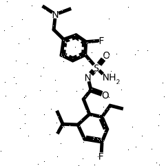 CCC1=CC(F)=CC(C(C)C)C1CC(=O)N=S(N)(=O)c1ccc(CN(C)C)cc1F